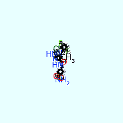 Cc1c(C(=O)NCc2ccc(S(N)(=O)=O)cc2)cnc2c1N(Cc1c(F)ccc(F)c1Cl)CCN2